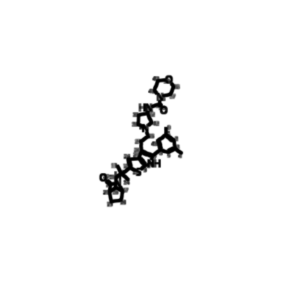 Cc1cc(C)cc(-c2[nH]c3sc(C(C)(C)CC4C5CCC4C(=O)N5)cc3c2CCN2CCC(NC(=O)N3CCOCC3)C2)c1